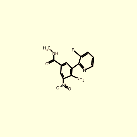 CNC(=O)c1cc(-c2ncccc2F)c(N)c([N+](=O)[O-])c1